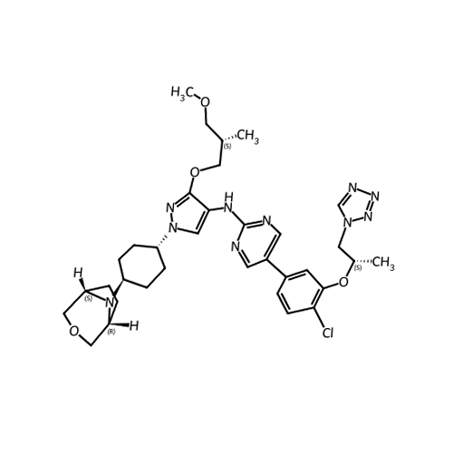 COC[C@H](C)COc1nn([C@H]2CC[C@H](N3[C@@H]4CC[C@H]3COC4)CC2)cc1Nc1ncc(-c2ccc(Cl)c(O[C@@H](C)Cn3cnnn3)c2)cn1